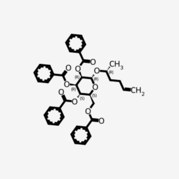 C=CCC[C@@H](C)O[C@@H]1O[C@@H](COC(=O)c2ccccc2)[C@H](OC(=O)c2ccccc2)[C@@H](OC(=O)c2ccccc2)[C@H]1OC(=O)c1ccccc1